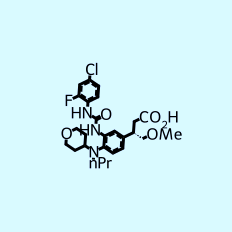 CCCN(c1ccc([C@@H](COC)CC(=O)O)cc1NC(=O)Nc1ccc(Cl)cc1F)C1CCOCC1